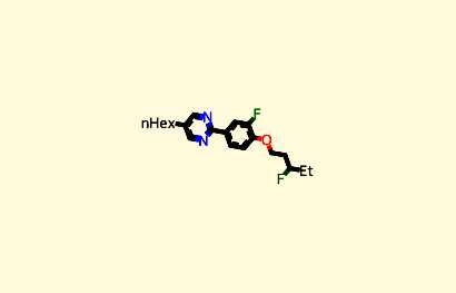 CCCCCCc1cnc(-c2ccc(OCCC(F)CC)c(F)c2)nc1